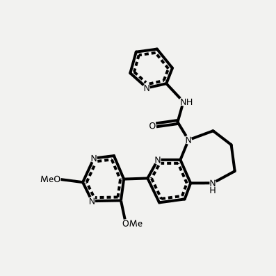 COc1ncc(-c2ccc3c(n2)N(C(=O)Nc2ccccn2)CCCN3)c(OC)n1